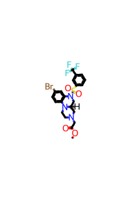 COC(=O)CN1CCN2c3ccc(Br)cc3N(S(=O)(=O)c3cccc(C(F)(F)F)c3)C[C@@H]2C1